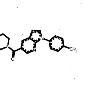 Cc1ccc(-n2ccc3cc(C(=O)N4CCCCC4)cnc32)cc1